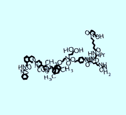 Cc1c(-c2ccc(N3CCc4cccc(C(=O)Nc5nc6ccccc6s5)c4C3)nc2C(=O)O)cnn1CC12CC3(C)CC(C)(C1)CC(OCCN(CCC(O)O)C(=O)OCc1ccc(NC(=O)[C@H](CCCNC(N)=O)NC(=O)[C@@H](NC(=O)CCCCCN4C(=O)C=CC4O)C(C)C)cc1)(C3)C2